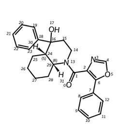 O=C(c1ncoc1-c1ccccc1)N1CCC(O)(c2ccccc2)[C@H]2CCCC[C@H]21